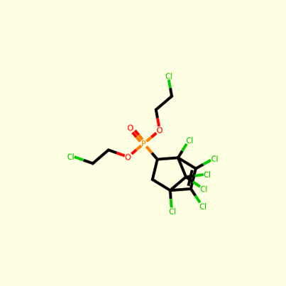 O=P(OCCCl)(OCCCl)C1CC2(Cl)C(Cl)=C(Cl)C1(Cl)C2(Cl)Cl